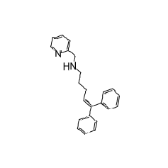 C(CCCNCc1ccccn1)=C(c1ccccc1)c1ccccc1